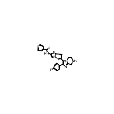 O=C(Nc1cn2nc(-c3c(-c4ccc(F)cc4)nc4n3CCNC4)ccc2n1)c1ccncc1